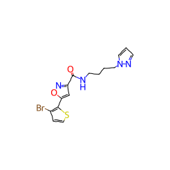 O=C(NCCCCn1cccn1)c1cc(-c2sccc2Br)on1